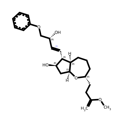 C=C(CC[C@H]1CCC[C@@H]2[C@@H](/C=C/[C@@H](O)COc3ccccc3)[C@H](O)C[C@@H]2O1)OC